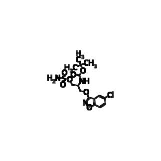 CC(C)(C)OC(=O)NC(COc1noc2ccc(Cl)cc12)COS(N)(=O)=O